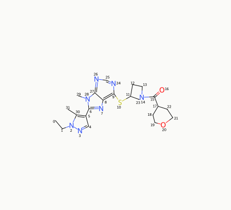 CCn1ncc(-c2nc3c(SC4CCN(C(=O)C5CCOCC5)C4)ncnc3n2C)c1C